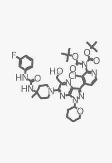 CC1(NC(=O)Nc2cccc(F)c2)CCN(c2nc3c(nc2CO)c(-c2ccnc(N(C(=O)OC(C)(C)C)C(=O)OC(C)(C)C)c2Cl)nn3C2CCCCO2)CC1